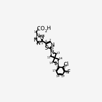 O=C(O)Cn1nnc(-c2cnc(N3CC4(C3)CN(c3cccc(F)c3Cl)C4)s2)n1